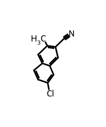 Cc1cc2ccc(Cl)cc2cc1C#N